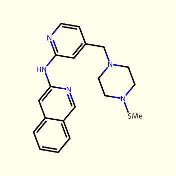 CSN1CCN(Cc2ccnc(Nc3cc4ccccc4cn3)c2)CC1